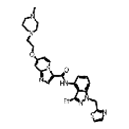 CCc1nn(Cc2nccs2)c2cccc(NC(=O)c3cnc4cc(OCCN5CCN(C)CC5)ccn34)c12